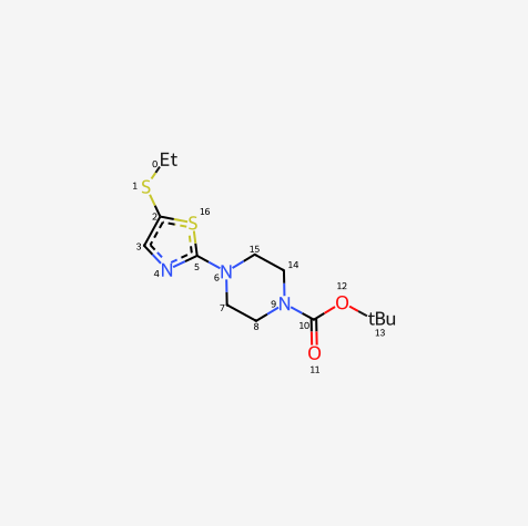 CCSc1cnc(N2CCN(C(=O)OC(C)(C)C)CC2)s1